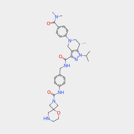 CC(C)n1nc(C(=O)NCc2ccc(NC(=O)N3CC4(CNCCO4)C3)cc2)c2c1[C@@H](C)CN(c1ccc(C(=O)N(C)C)cc1)C2